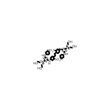 O=S(=O)(O)c1cc(Nc2nc(Nc3ccccc3)nc(N(OCCO)OCCO)n2)ccc1C=Cc1ccc(Nc2nc(Nc3ccccc3)nc(N(OCCO)OCCO)n2)cc1S(=O)(=O)O